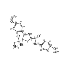 CCC(CC)(CN)[C@H]1CN(C(=O)Nc2ccc(OC(C)C)cc2)N=C1c1ccc(OC(C)C)cc1